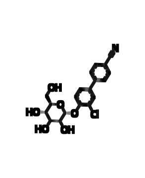 N#Cc1ccc(-c2ccc(O[C@H]3O[C@H](CO)[C@@H](O)C(O)C3O)c(Cl)c2)cc1